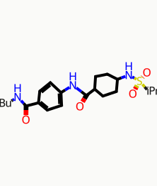 CCC(C)NC(=O)c1ccc(NC(=O)C2CCC(NS(=O)(=O)C(C)C)CC2)cc1